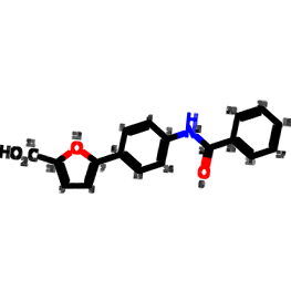 O=C(Nc1ccc(-c2ccc(C(=O)O)o2)cc1)c1ccccc1